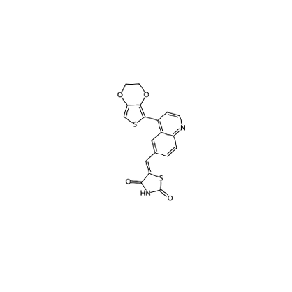 O=C1NC(=O)/C(=C/c2ccc3nccc(-c4scc5c4OCCO5)c3c2)S1